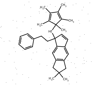 CC1=C(C)[C](C)([Hf][C]2(CCc3ccccc3)C=Cc3cc4c(cc32)CC(C)(C)C4)C(C)=C1C